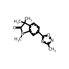 Cc1noc(-c2ccc3c(c2)N(C)C(=O)C3(C)C)n1